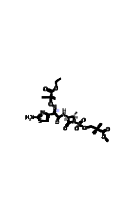 CCOC(=O)C(C)(C)O/N=C(/C(=O)N[C@@H]1C(=O)N(S(=O)(=O)OCC(C)(C)C(=O)OC)[C@H]1C)c1csc(N)n1